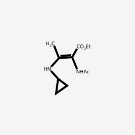 CCOC(=O)C(NC(C)=O)=C(C)NC1CC1